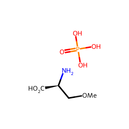 COC[C@H](N)C(=O)O.O=P(O)(O)O